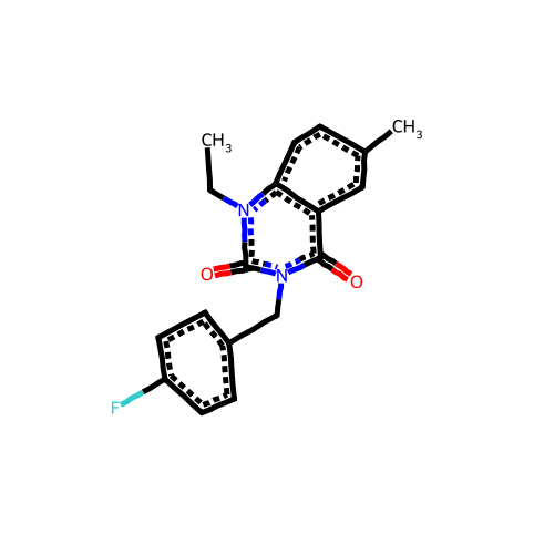 CCn1c(=O)n(Cc2ccc(F)cc2)c(=O)c2cc(C)ccc21